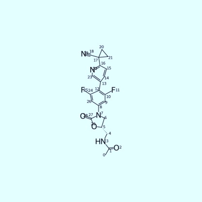 CC(=O)NC[C@H]1CN(c2cc(F)c(-c3ccc(C4(C#N)CC4)nc3)c(F)c2)C(=O)O1